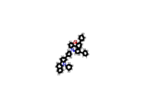 c1ccc(-c2ccc(N(c3ccc(-c4ccc5c6ccc7ccccc7c6n(-c6ccccc6)c5c4)cc3)c3cccc4oc5c(-c6ccccc6)cccc5c34)cc2)cc1